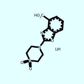 O=C(O)c1cccc2oc(N3CCS(=O)(=O)CC3)nc12.[LiH]